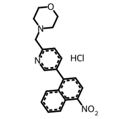 Cl.O=[N+]([O-])c1ccc(-c2ccc(CN3CCOCC3)nc2)c2ccccc12